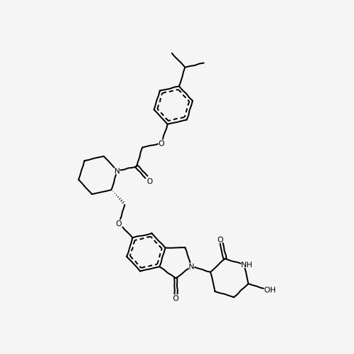 CC(C)c1ccc(OCC(=O)N2CCCC[C@H]2COc2ccc3c(c2)CN(C2CCC(O)NC2=O)C3=O)cc1